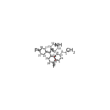 C=CCc1ccccc1C1CNCCN1C(c1ccc(F)cc1)c1ccc(F)cc1